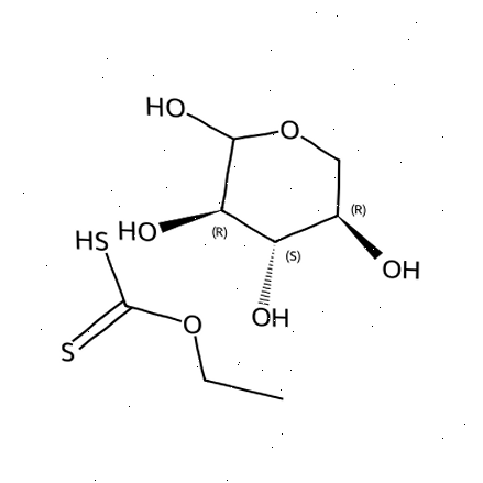 CCOC(=S)S.OC1OC[C@@H](O)[C@H](O)[C@H]1O